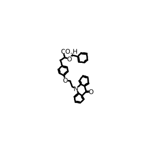 O=C(O)C(Cc1ccc(OCCn2c3ccccc3c(=O)c3ccccc32)cc1)OCc1ccccc1